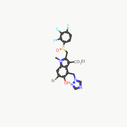 CCOC(=O)c1c(C[S+]([O-])c2ccc(F)c(F)c2F)n(C)c2cc(Br)c(O)c(Cn3cncn3)c12